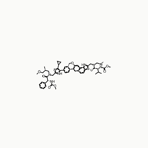 CCCN(Cc1nc2ccc3cc4c(cc3c2[nH]1)OCc1cc(-c2[nH]c(CN(C[C@H](C)COC)C(=O)[C@H](NC(=O)OC)c3ccccc3)nc2C2CC2)ccc1-4)C(=O)[C@@H](NC(=O)OC)C(C)C